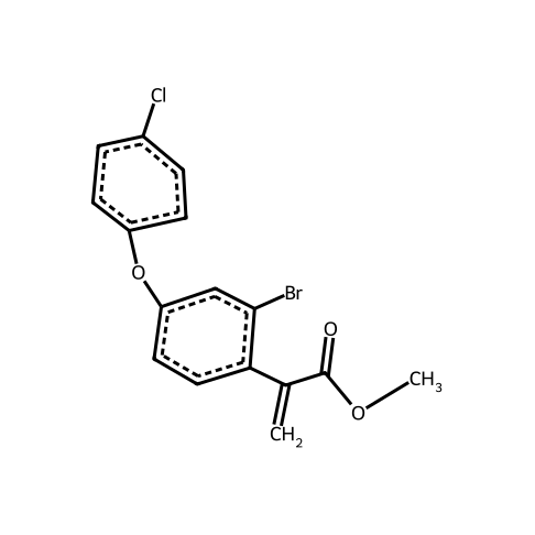 C=C(C(=O)OC)c1ccc(Oc2ccc(Cl)cc2)cc1Br